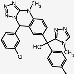 CN1c2ccc(C(O)(c3ccc(I)cc3)c3nncn3C)cc2C(c2cccc(Cl)c2)n2nnnc21